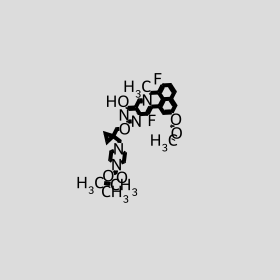 CCc1c(F)ccc2cc(OCOC)cc(-c3ncc4c(O)nc(OCC5(CN6CCN(C(=O)OC(C)(C)C)CC6)CC5)nc4c3F)c12